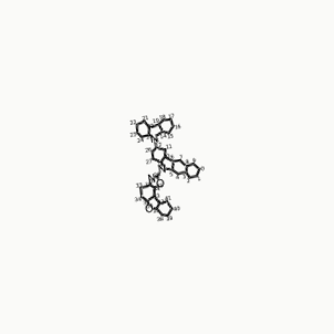 c1ccc2cc3c(cc2c1)c1cc(-n2c4ccccc4c4ccccc42)ccc1n3-c1nc2ccc3oc4ccccc4c3c2o1